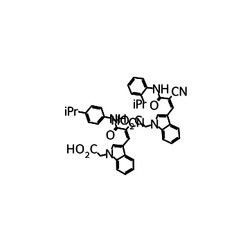 CC(C)c1ccc(NC(=O)C(C#N)=Cc2cn(CC(=O)O)c3ccccc23)cc1.CC(C)c1ccccc1NC(=O)C(C#N)=Cc1cn(CC(=O)O)c2ccccc12